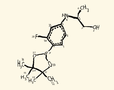 C[C@@H](CO)Nc1ccc(B2OC(C)(C)C(C)(C)O2)c(F)c1